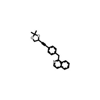 CC1(C)OCC(C#Cc2ccc(Cc3nccc4ccccc34)cc2)O1